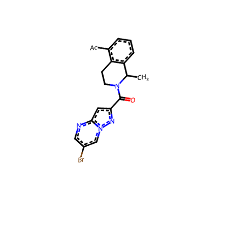 CC(=O)c1cccc2c1CCN(C(=O)c1cc3ncc(Br)cn3n1)C2C